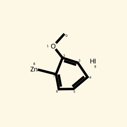 COc1cccc[c]1[Zn].I